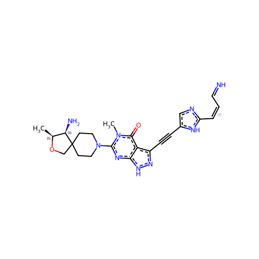 C[C@@H]1OCC2(CCN(c3nc4[nH]nc(C#Cc5cnc(/C=C\C=N)[nH]5)c4c(=O)n3C)CC2)[C@@H]1N